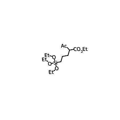 CCOC(=O)C(CCC[Si](OCC)(OCC)OCC)C(C)=O